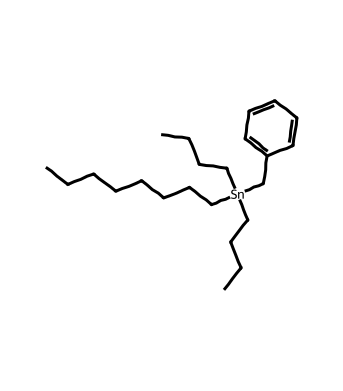 CCCCCCC[CH2][Sn]([CH2]CCC)([CH2]CCC)[CH2]c1ccccc1